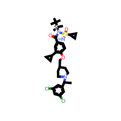 CC(c1cc(Cl)cc(Cl)c1)N1CCC(COc2ccc(C(=O)N([Si](C)(C)C(C)(C)C)S(=N)(=O)C3CC3)cc2C2CC2)CC1